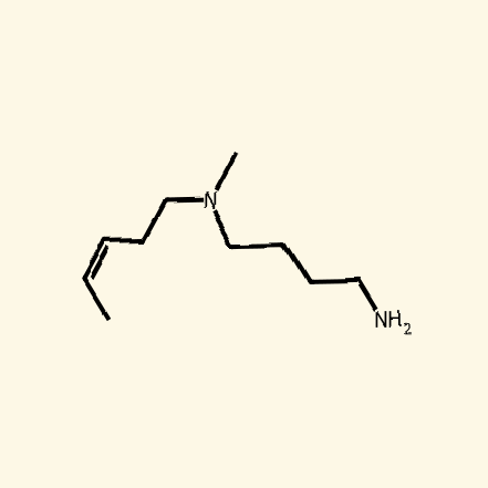 C/C=C\CCN(C)CCCCN